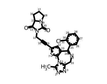 Cc1nnc2n1-c1sc(C#CCN3C(=O)C4CCCN4C3=O)cc1C(c1ccccc1Cl)=NC2